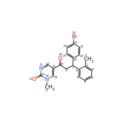 Cc1ccccc1C(CC(=O)c1cnc(=O)n(C)c1)c1ccc(Br)cc1